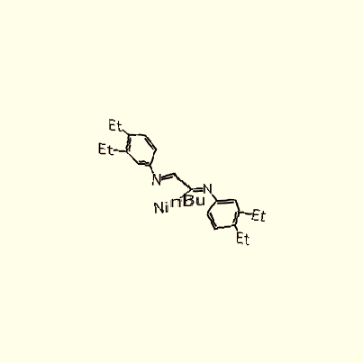 CCCCC(/C=N/c1ccc(CC)c(CC)c1)=N\c1ccc(CC)c(CC)c1.[Ni]